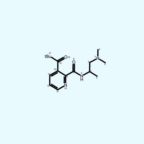 CC(CN(C)C)NC(=O)c1ncccc1C(=O)C(C)(C)C